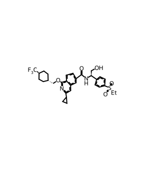 CCS(=O)(=O)c1ccc([C@H](CO)NC(=O)c2ccc3c(OC[C@H]4CC[C@H](C(F)(F)F)CC4)nc(C4CC4)cc3c2)cc1